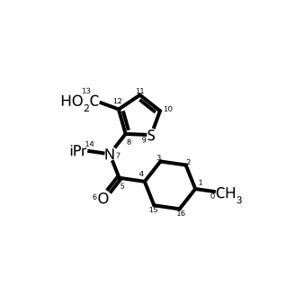 CC1CCC(C(=O)N(c2sccc2C(=O)O)C(C)C)CC1